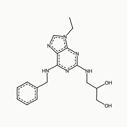 CCn1cnc2c(NCc3ccccc3)nc(NCC(O)CO)nc21